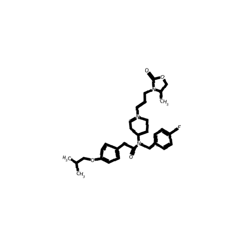 CC(C)COc1ccc(CC(=O)N(Cc2ccc(F)cc2)C2CCN(CCCN3C(=O)OCC3C)CC2)cc1